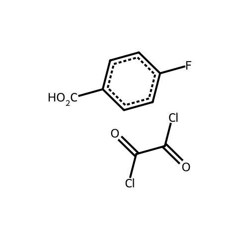 O=C(Cl)C(=O)Cl.O=C(O)c1ccc(F)cc1